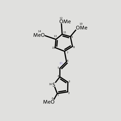 COc1ccc(/C=C/c2cc(OC)c(OC)c(OC)c2)s1